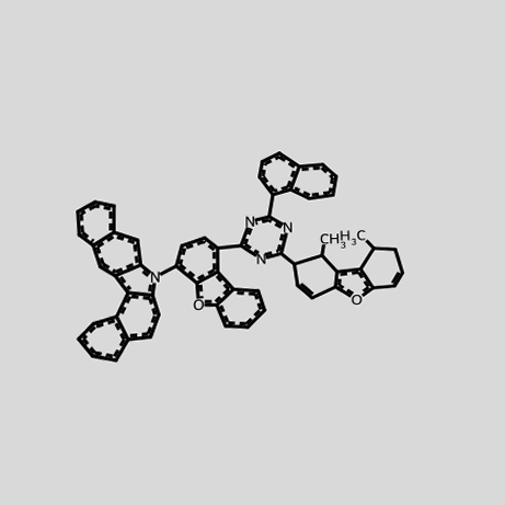 CC1CC=Cc2oc3c(c21)C(C)C(c1nc(-c2cccc4ccccc24)nc(-c2ccc(-n4c5cc6ccccc6cc5c5c6ccccc6ccc54)c4oc5ccccc5c24)n1)C=C3